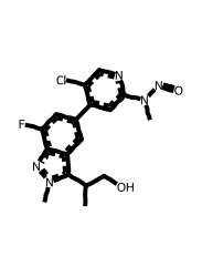 CC(CO)c1c2cc(-c3cc(N(C)N=O)ncc3Cl)cc(F)c2nn1C